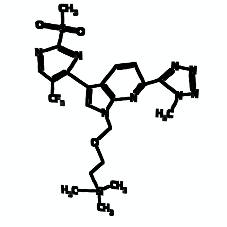 Cn1nnnc1-c1ccc2c(-c3nc(S(C)(=O)=O)ncc3C(F)(F)F)cn(COCC[Si](C)(C)C)c2n1